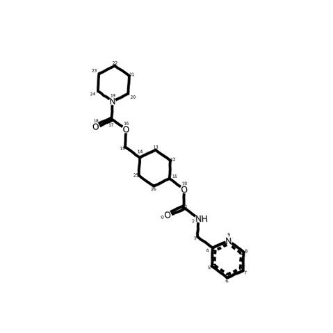 O=C(NCc1ccccn1)OC1CCC(COC(=O)N2CCCCC2)CC1